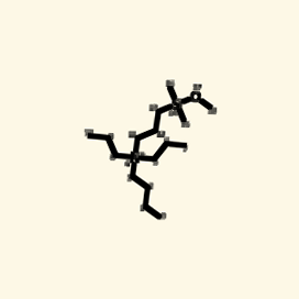 CCCC[N+](CCC)(CCC)CCC[Si](C)(C)OC